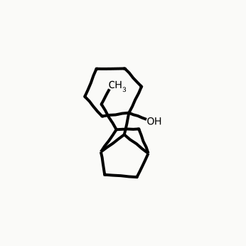 CCC1CC2CCC1C2C1(O)CCCCC1